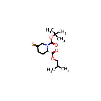 CC(C)COC(=O)[C@@H]1CCC(=S)CN1C(=O)OC(C)(C)C